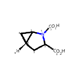 O=C(O)C1C[C@@H]2CC2N1C(=O)O